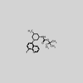 C[C@H]1C[C@@H](NC(=O)OC(C)(C)C)CN(c2ccc(F)c3ncccc23)C1